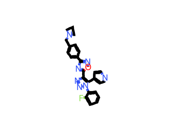 Fc1ccccc1-n1nnc(-c2nc(-c3ccc(CN4CCC4)cc3)no2)c1-c1ccncc1